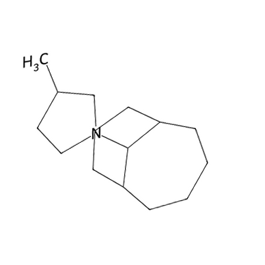 CC1CCN(C2C3CCCCC2CCC3)C1